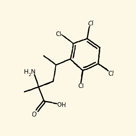 CC(CC(C)(N)C(=O)O)c1c(Cl)c(Cl)cc(Cl)c1Cl